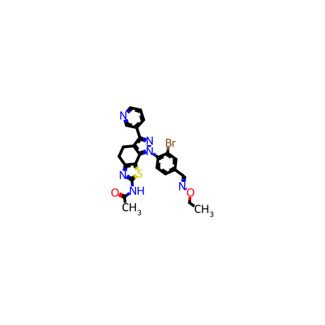 CCON=Cc1ccc(-n2nc(-c3cccnc3)c3c2-c2sc(NC(C)=O)nc2CC3)c(Br)c1